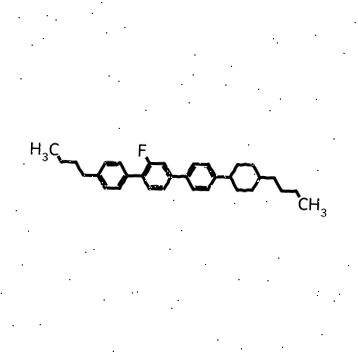 CCCCc1ccc(-c2ccc(-c3ccc(C4CCC(CCCC)CC4)cc3)cc2F)cc1